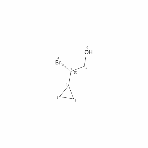 OC[C@@H](Br)C1CC1